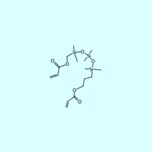 C=CC(=O)OCCC[Si](C)(C)O[Si](C)(C)O[Si](C)(C)COC(=O)C=C